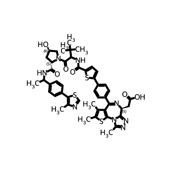 Cc1ncsc1-c1ccc(C(C)NC(=O)[C@@H]2C[C@@H](O)CN2C(=O)C(NC(=O)c2ccc(-c3ccc(C4=N[C@@H](CC(=O)O)c5nnc(C)n5-c5sc(C)c(C)c54)cc3)s2)C(C)(C)C)cc1